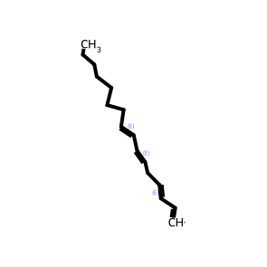 [CH]=C/C=C/C/C=C/C=C/CCCCCCC